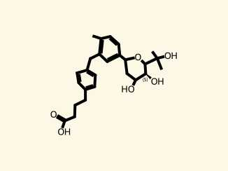 Cc1ccc(C2CC(O)[C@H](O)C(C(C)(C)O)O2)cc1Cc1ccc(CCCC(=O)O)cc1